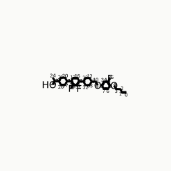 C=CCCOc1ccc(OCC2CCC(c3ccc(C4CCC(C(C)O)CC4)c(F)c3F)CC2)cc1F